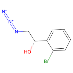 [N-]=[N+]=NC[C@@H](O)c1ccccc1Br